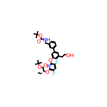 CC[C@@H](Oc1nc(Oc2cc(CCO)cc(-c3cccc(CNC(=O)OC(C)(C)C)c3)c2)c(F)cc1F)C(=O)OC(C)(C)C